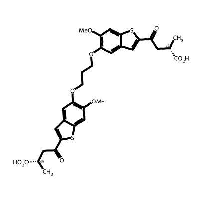 COc1cc2sc(C(=O)C[C@H](C)C(=O)O)cc2cc1OCCCOc1cc2cc(C(=O)C[C@H](C)C(=O)O)sc2cc1OC